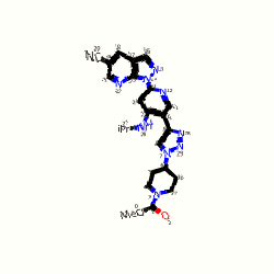 COC(=O)N1CCC(n2cc(-c3cnc(-n4ncc5cc(C#N)cnc54)cc3NC(C)C)nn2)CC1